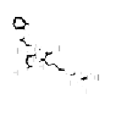 CC(C)CC(NC(=O)C(=O)Nc1ccccc1F)C(=O)NC(CCCCNC(=O)OC(C)(C)C)C(=O)CCl